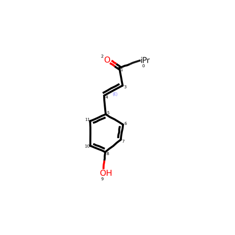 CC(C)C(=O)/C=C/c1ccc(O)cc1